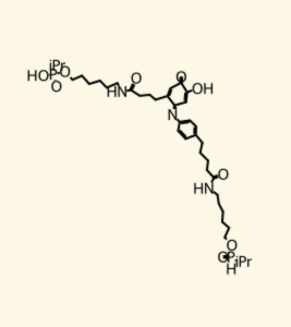 CC(C)[PH](=O)OCCCCCCNC(=O)CCCCc1ccc(/N=C2\C=C(O)C(=O)C=C2CCCC(=O)NCCCCCCOP(=O)(O)C(C)C)cc1